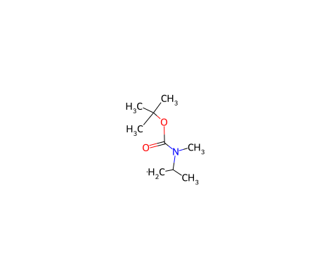 [CH2]C(C)N(C)C(=O)OC(C)(C)C